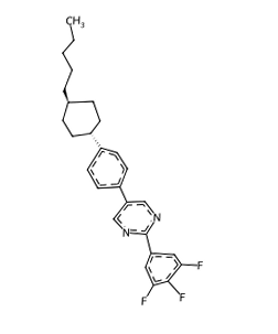 CCCCC[C@H]1CC[C@H](c2ccc(-c3cnc(-c4cc(F)c(F)c(F)c4)nc3)cc2)CC1